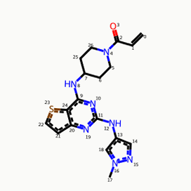 C=CC(=O)N1CCC(Nc2nc(Nc3cnn(C)c3)nc3ccsc23)CC1